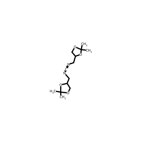 CC1(C)OCC(CN=C=NCC2COC(C)(C)O2)O1